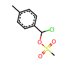 Cc1ccc(C(Cl)OS(C)(=O)=O)cc1